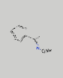 CO/N=C(\C)c1c[c]ccc1